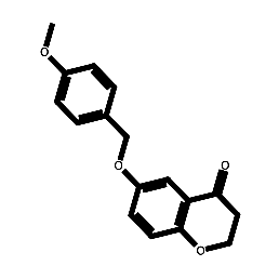 COc1ccc(COc2ccc3c(c2)C(=O)CCO3)cc1